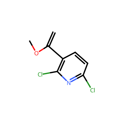 C=C(OC)c1ccc(Cl)nc1Cl